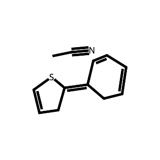 C1=CCC(=C2CC=CS2)C=C1.CC#N